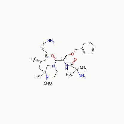 C=C(/C=C\C=C/N)CC1(CCC)CN(C(=O)[C@@H](COCc2ccccc2)NC(=O)C(C)(C)N)CCN1C=O